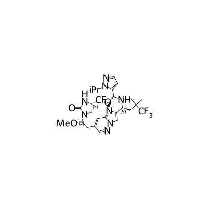 CO[C@@H](Cc1cnn2cc([C@H](CC(C)(C)C(F)(F)F)NC(=O)c3ccnn3C(C)C)nc2c1)N1C[C@@H](C(F)(F)F)NC1=O